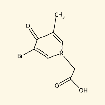 Cc1cn(CC(=O)O)cc(Br)c1=O